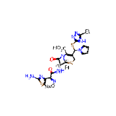 CCc1nnc(SC(C2=C(C(=O)O)N3C(=O)[C@@H](NC(=O)C(=NOC)c4csc(N)n4)[C@@H]3SC2)n2cccc2)[nH]1